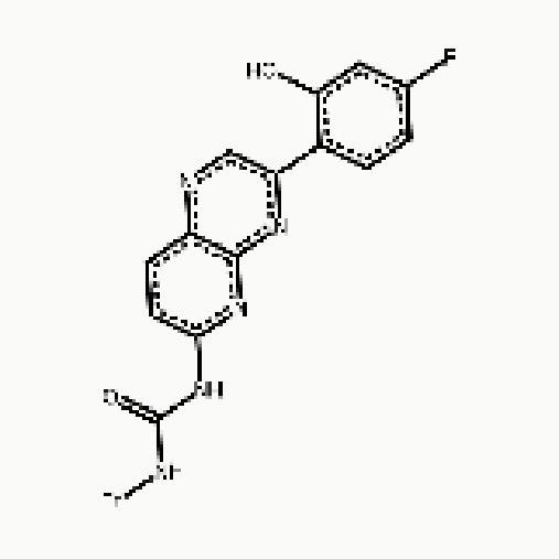 CCNC(=O)Nc1ccc2ncc(-c3ccc(F)cc3O)nc2n1